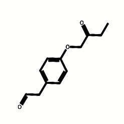 CCC(=O)COc1ccc(CC=O)cc1